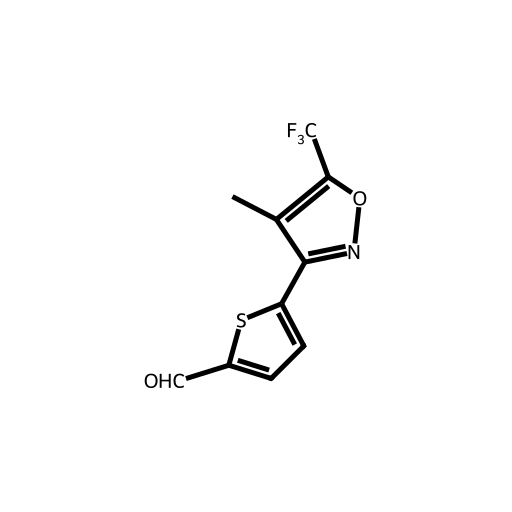 Cc1c(-c2ccc(C=O)s2)noc1C(F)(F)F